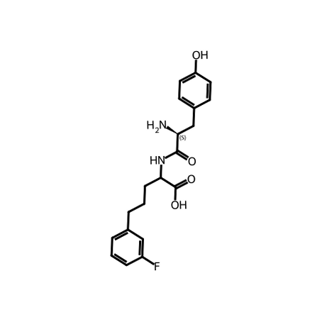 N[C@@H](Cc1ccc(O)cc1)C(=O)NC(CCCc1cccc(F)c1)C(=O)O